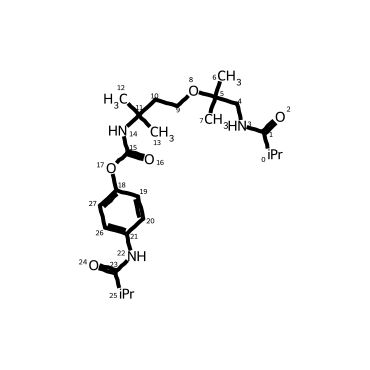 CC(C)C(=O)NCC(C)(C)OCCC(C)(C)NC(=O)Oc1ccc(NC(=O)C(C)C)cc1